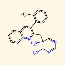 Cc1ccccc1-c1cc2ccccc2nc1CC1(N)C=NC=NC1N